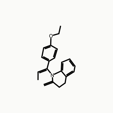 C=C1CCc2ccccc2N1/C(=C\C)c1ccc(OCC)cc1